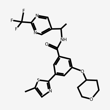 Cc1cnc(-c2cc(OC3CCOCC3)cc(C(=O)NC(C)c3cnc(C(F)(F)F)nc3)c2)s1